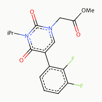 COC(=O)Cn1cc(-c2cccc(F)c2F)c(=O)n(C(C)C)c1=O